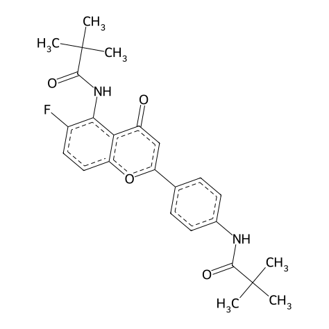 CC(C)(C)C(=O)Nc1ccc(-c2cc(=O)c3c(NC(=O)C(C)(C)C)c(F)ccc3o2)cc1